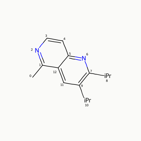 Cc1nccc2nc(C(C)C)c(C(C)C)cc12